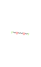 FCCCO[CH]CCCCOCCCF